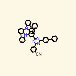 N#Cc1cccc(-c2nc(-c3ccc(-c4ccccc4)cc3)nc(-c3cc(-c4ccccc4)cc(-n4c5ccccc5c5cccc(-n6c7ccccc7c7ccccc76)c54)c3)n2)c1